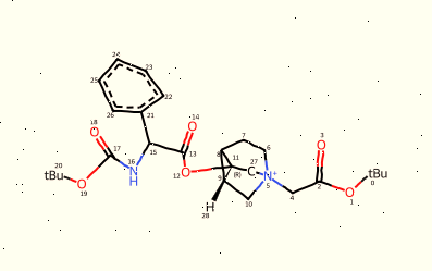 CC(C)(C)OC(=O)C[N+]12CCC(CC1)[C@@H](OC(=O)C(NC(=O)OC(C)(C)C)c1ccccc1)C2